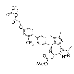 COC(=O)C[C@@H]1N=C(c2ccc(-c3ccc(OCC(=O)OC(=O)C(F)(F)F)cc3C(F)(F)F)cc2)c2c(sc(C)c2C)-n2c(C)nnc21